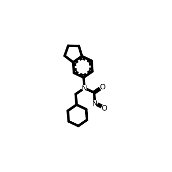 O=NC(=O)N(CC1CCCCC1)c1ccc2c(c1)CCC2